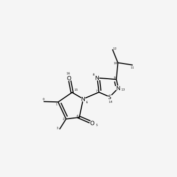 CC1=C(C)C(=O)N(c2nc(C(C)C)ns2)C1=O